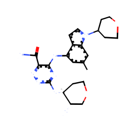 Cc1cc(Nc2nc(N[C@@H]3CCOC[C@@H]3N)nnc2C(N)=O)c2ccn(C3CCOCC3)c2c1